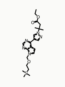 CCOC(=O)CC(C)(C)n1cc(-c2ncnc3c2ccn3COCC[Si](C)(C)C)cn1